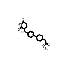 CC(C)(C)OC(=O)CC1CCC(c2ccc(NC3CCC(=O)NC3=O)cc2)CC1